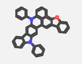 c1ccc(N(c2ccccc2)c2cc3c4ccccc4n(-c4ccccc4)c3cc2-c2ccc3oc4ccccc4c3c2)cc1